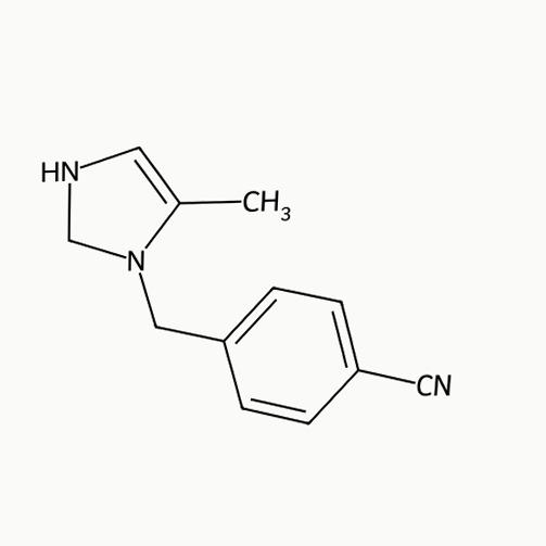 CC1=CNCN1Cc1ccc(C#N)cc1